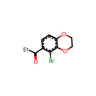 CCC(=O)c1ccc2c(c1Br)OCCO2